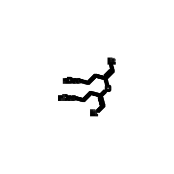 CC/C=C(\CCCCCCCCCCCC)O/C(=C/CC)CCCCCCCCCCCC